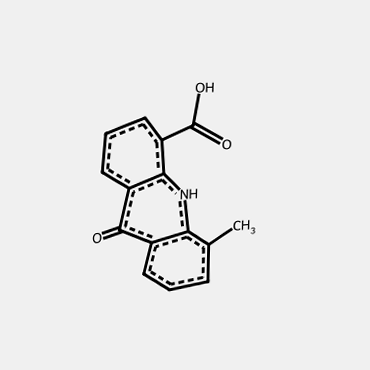 Cc1cccc2c(=O)c3cccc(C(=O)O)c3[nH]c12